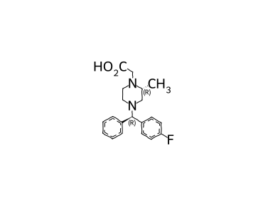 C[C@@H]1CN([C@H](c2ccccc2)c2ccc(F)cc2)CCN1CC(=O)O